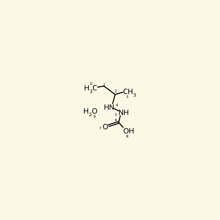 CCC(C)NNC(=O)O.O